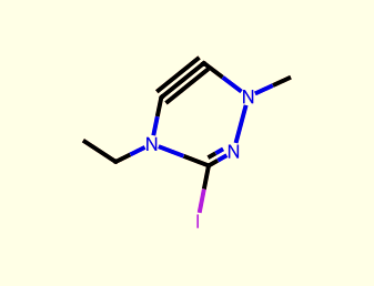 CCN1C#CN(C)N=C1I